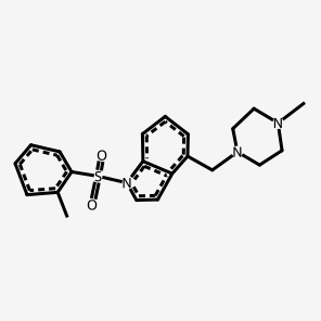 Cc1ccccc1S(=O)(=O)n1ccc2c(CN3CCN(C)CC3)cccc21